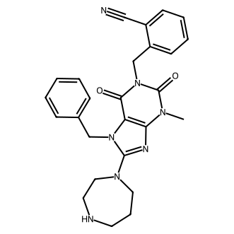 Cn1c(=O)n(Cc2ccccc2C#N)c(=O)c2c1nc(N1CCCNCC1)n2Cc1ccccc1